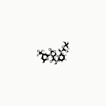 Cc1cc(C(F)(F)F)cc(N2C(=O)OCC2C(=O)N(C)c2cccc(N(C)C(=O)OC(C)(C)C)n2)n1